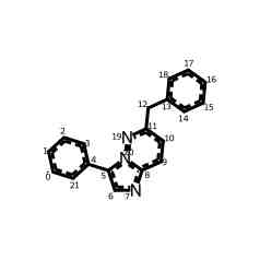 [c]1cccc(-c2cnc3ccc(Cc4ccccc4)nn23)c1